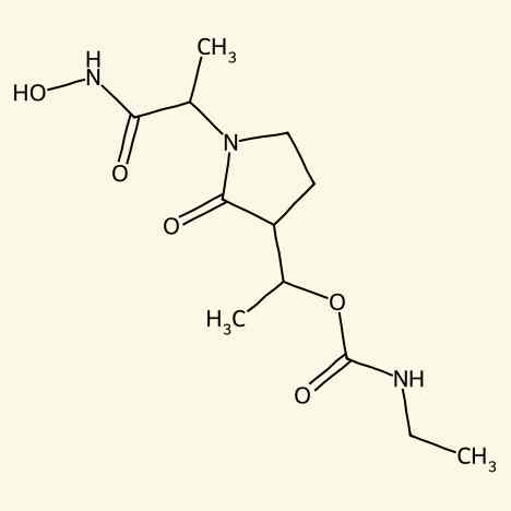 CCNC(=O)OC(C)C1CCN(C(C)C(=O)NO)C1=O